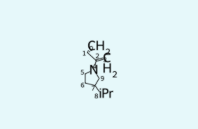 C=CC(=C)N1CCC(C(C)C)C1